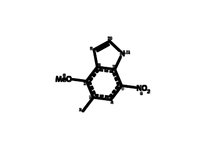 COc1c(C)cc([N+](=O)[O-])c2c1C=C[N]2